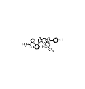 NC(=O)[C@@H]1CCCN1c1ncccc1-n1cnc(Cn2nc(-c3ccc(Cl)cc3)n(CC(O)C(F)(F)F)c2=O)n1